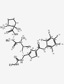 CCNC(=O)N[C@H](C[C@H](C(C)C)N(C)C(=O)[C@@H](NC(=O)[C@@]1(C)CCCN1C)[C@@H](C)CC)c1nc(C(=O)Oc2c(F)c(F)c(F)c(F)c2F)cs1